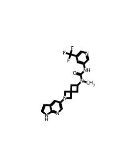 CN(C(=O)Nc1cncc(C(F)(F)F)c1)C1CC2(C1)CN(c1cnc3[nH]ccc3c1)C2